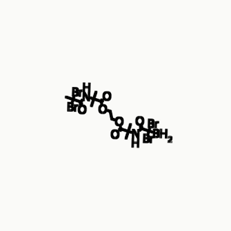 BC(Br)(Br)C(=O)NC(C)(C)C(=O)OCCOC(=O)C(C)(C)NC(=O)C(C)(Br)Br